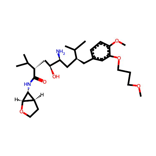 COCCCOc1cc(C[C@@H](C[C@H](N)[C@@H](O)C[C@H](C(=O)N[C@@H]2[C@H]3CCO[C@H]32)C(C)C)C(C)C)ccc1OC